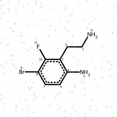 NCCc1c(N)ccc(Br)c1F